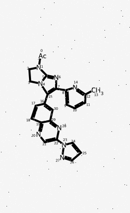 CC(=O)N1CCn2c1nc(-c1cccc(C)n1)c2-c1ccc2ncc(-n3cccn3)nc2c1